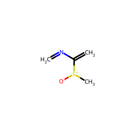 C=NC(=C)[S+](C)[O-]